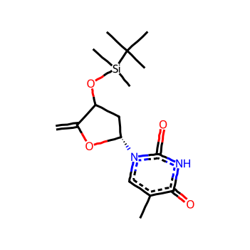 C=C1O[C@@H](n2cc(C)c(=O)[nH]c2=O)CC1O[Si](C)(C)C(C)(C)C